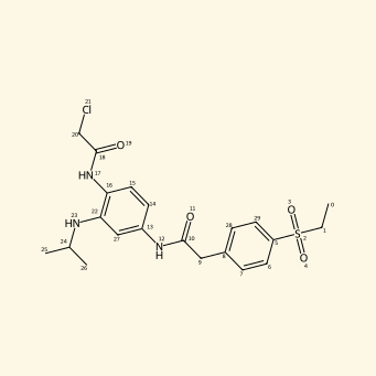 CCS(=O)(=O)c1ccc(CC(=O)Nc2ccc(NC(=O)CCl)c(NC(C)C)c2)cc1